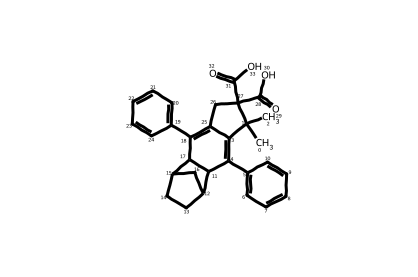 CC1(C)C2=C(c3ccccc3)C3C4CCC(C4)C3C(c3ccccc3)=C2CC1(C(=O)O)C(=O)O